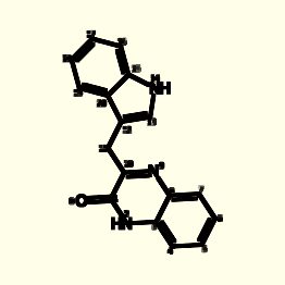 O=c1[nH]c2ccccc2nc1Cc1c[nH]c2ccccc12